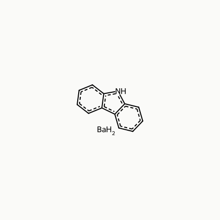 [BaH2].c1ccc2c(c1)[nH]c1ccccc12